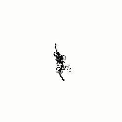 CCCCCCOC(=O)[C@@H](N)CSSC[C@@H](C(=O)OCCCCCC)N(C(C)=O)C(C)=O